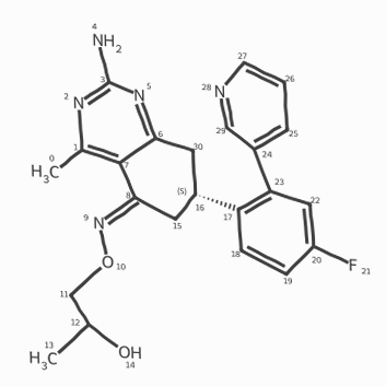 Cc1nc(N)nc2c1C(=NOCC(C)O)C[C@@H](c1ccc(F)cc1-c1cccnc1)C2